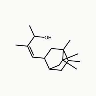 CC(=CC1CC2(C)C(C)CC1CC2(C)C)C(C)O